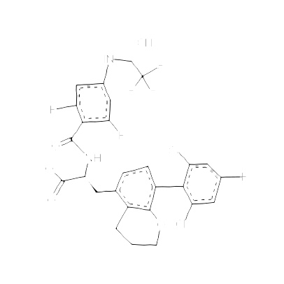 C[C@@H](Nc1cc(F)c(C(=O)N[C@@H](Cc2ccc(-c3c(Cl)cc(F)cc3Cl)c3c2CCCO3)C(=O)O)c(F)c1)C(F)(F)F